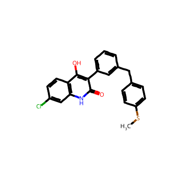 CSc1ccc(Cc2cccc(-c3c(O)c4ccc(Cl)cc4[nH]c3=O)c2)cc1